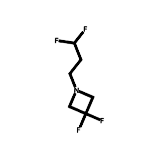 F[C](F)CCN1CC(F)(F)C1